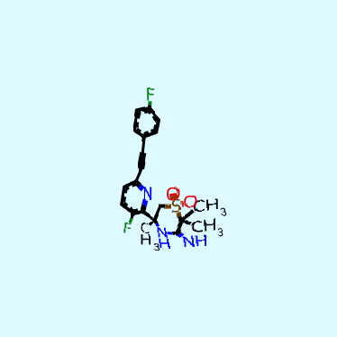 CC1(C)C(=N)N[C@](C)(c2nc(C#Cc3ccc(F)cc3)ccc2F)CS1(=O)=O